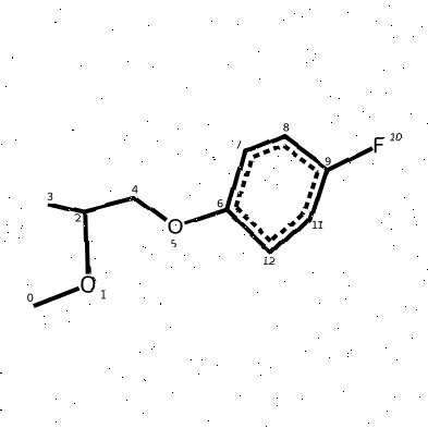 COC(C)COc1ccc(F)cc1